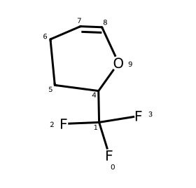 FC(F)(F)C1CCC=CO1